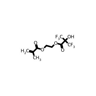 C=C(C)C(=O)OCCOC(=O)C(O)(C(F)(F)F)C(F)(F)F